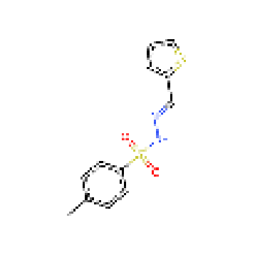 Cc1ccc(S(=O)(=O)NN=Cc2cccs2)cc1